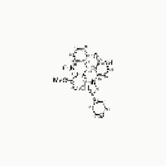 COC(=O)OC1=C(C)N(CCN2CCOCC2)c2cc[nH]c(=O)c2C1c1ccccc1[N+](=O)[O-]